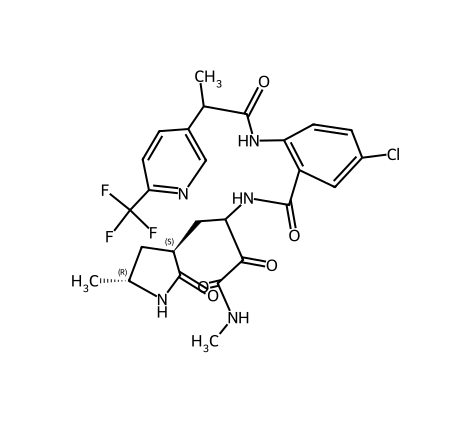 CNC(=O)C(=O)C(C[C@@H]1C[C@@H](C)NC1=O)NC(=O)c1cc(Cl)ccc1NC(=O)C(C)c1ccc(C(F)(F)F)nc1